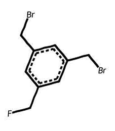 FCc1cc(CBr)cc(CBr)c1